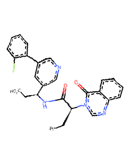 CC(C)C[C@@H](C(=O)N[C@@H](CC(=O)O)c1cncc(-c2ccccc2F)c1)n1cnc2ccccc2c1=O